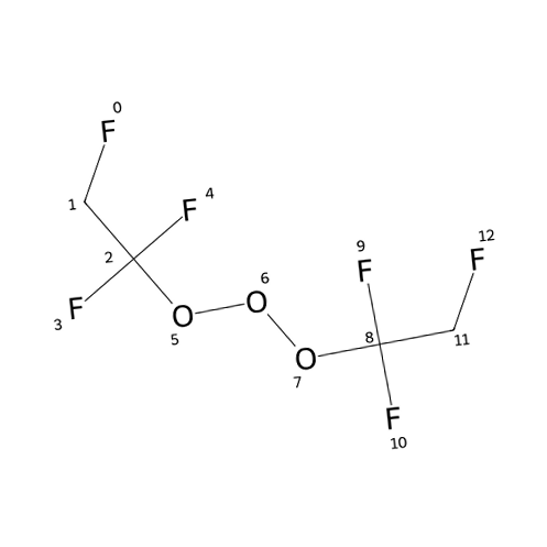 FCC(F)(F)OOOC(F)(F)CF